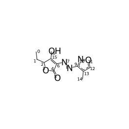 CCC1OC(=O)C(N=Nc2nocc2C)=C1O